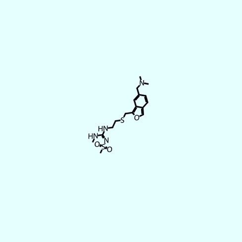 CNC(=NS(C)(=O)=O)NCCSCc1occ2ccc(CN(C)C)cc12